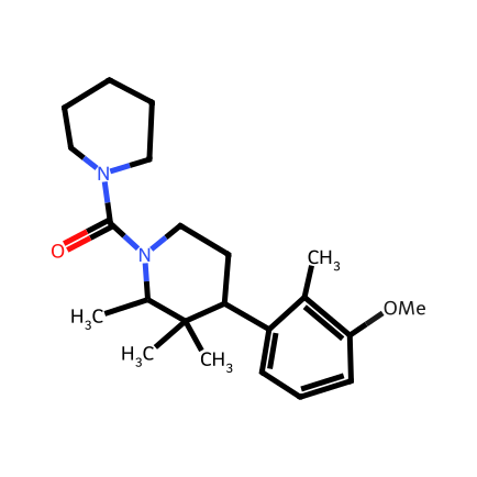 COc1cccc(C2CCN(C(=O)N3CCCCC3)C(C)C2(C)C)c1C